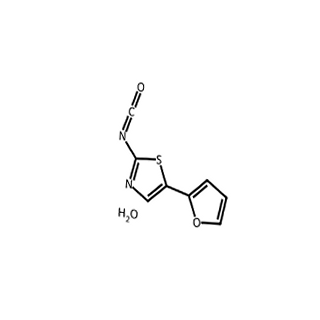 O.O=C=Nc1ncc(-c2ccco2)s1